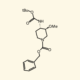 CO[C@H]1CN(C(=O)OCc2ccccc2)CC[C@@H]1NC(=O)OC(C)(C)C